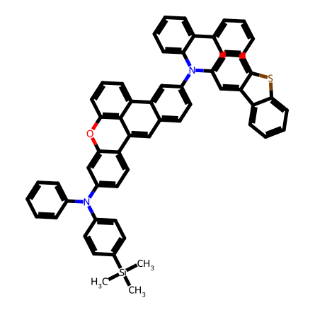 C[Si](C)(C)c1ccc(N(c2ccccc2)c2ccc3c(c2)Oc2cccc4c2c-3cc2ccc(N(c3ccc5sc6ccccc6c5c3)c3ccccc3-c3ccccc3)cc24)cc1